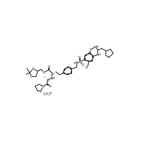 C[C@H](N[C@@H](CCc1ccc(CNS(=O)(=O)c2cc3c(cc2Cl)NC(CC2CCCC2)NS3)cc1)C(=O)OCC1COC(C)(C)O1)C(=O)N1CCC[C@H]1C(=O)O